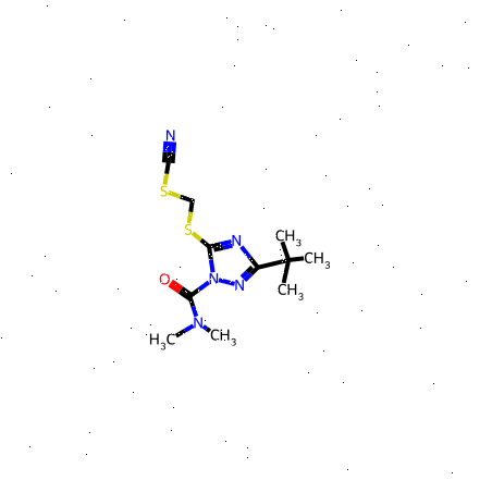 CN(C)C(=O)n1nc(C(C)(C)C)nc1SCSC#N